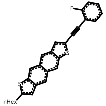 CCCCCCc1cc2cc3cc4sc(C#Cc5ccccc5F)cc4cc3cc2s1